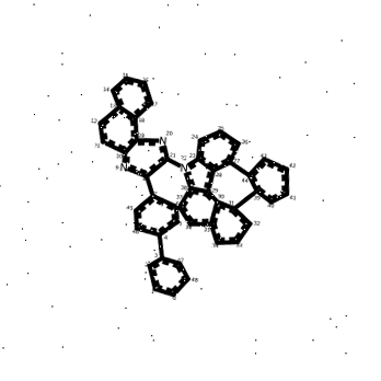 c1ccc(-c2ccc(-c3nc4ccc5ccccc5c4nc3-n3c4cccc5c4c4c6c(cccc6ccc43)-c3ccccc3-5)cc2)cc1